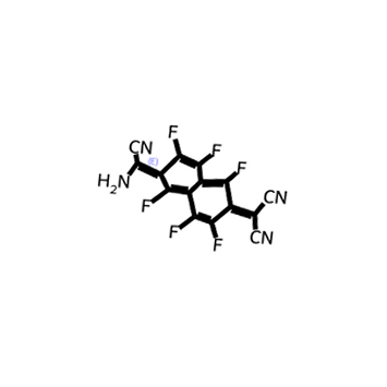 N#CC(C#N)=c1c(F)c(F)c2c(F)/c(=C(\N)C#N)c(F)c(F)c2c1F